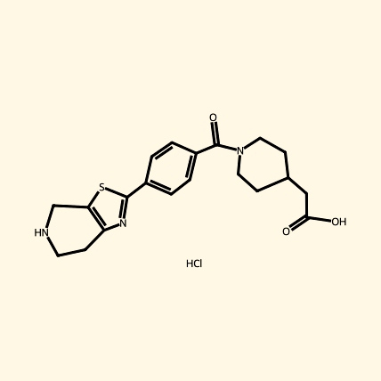 Cl.O=C(O)CC1CCN(C(=O)c2ccc(-c3nc4c(s3)CNCC4)cc2)CC1